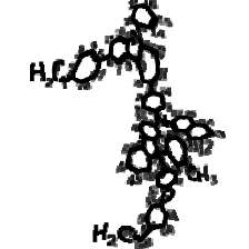 C=CC1CC=C(C2C=C3C(=CC2)N(C2C=CCCC2)C2CCC(C4CCC(N(C5=CC6CCCCC6CC5)C5CCC6C7CCCCC7C(C7=CCC(OC8CCC(C=C)CC8)CC7)(C7CCCC(C)C7)C6C5)CC4)CC32)CC1